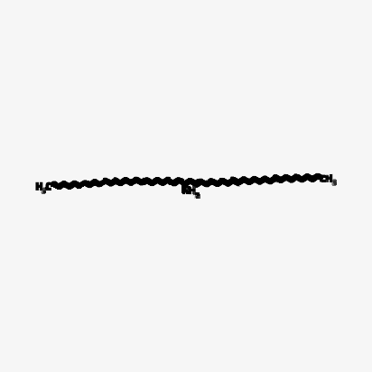 CCCCCCCCCCCCCCCCCCCCCCCCCCC(N)CCCCCCCCCCCCCCCCCCCCCCCCCC